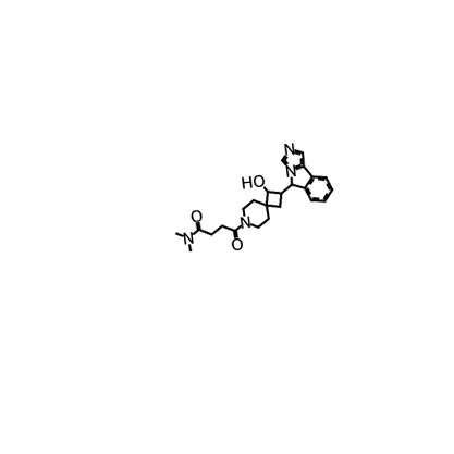 CN(C)C(=O)CCC(=O)N1CCC2(CC1)CC(C1c3ccccc3-c3cncn31)C2O